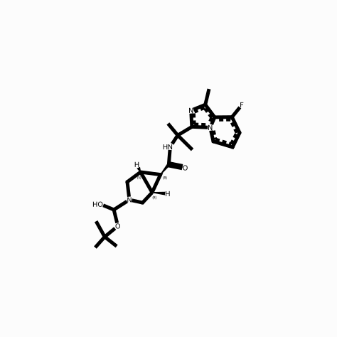 Cc1nc(C(C)(C)NC(=O)[C@H]2[C@@H]3CN(C(O)OC(C)(C)C)C[C@@H]32)n2cccc(F)c12